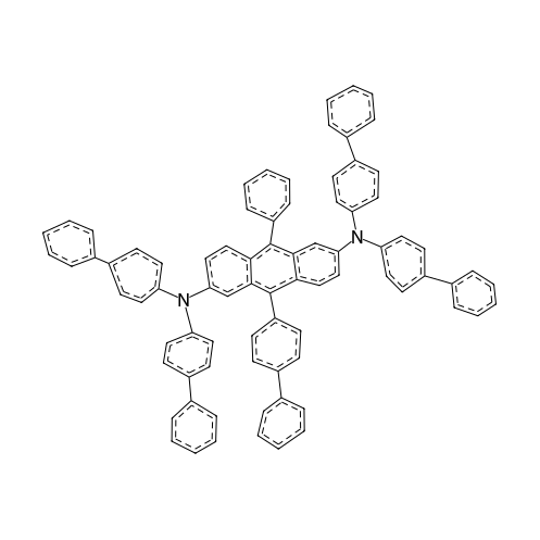 c1ccc(-c2ccc(-c3c4ccc(N(c5ccc(-c6ccccc6)cc5)c5ccc(-c6ccccc6)cc5)cc4c(-c4ccccc4)c4ccc(N(c5ccc(-c6ccccc6)cc5)c5ccc(-c6ccccc6)cc5)cc34)cc2)cc1